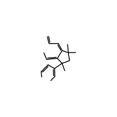 C=C/C=C1\C(=C/C)C(C)(C(/C=C\C)=C/C)CC1(C)C